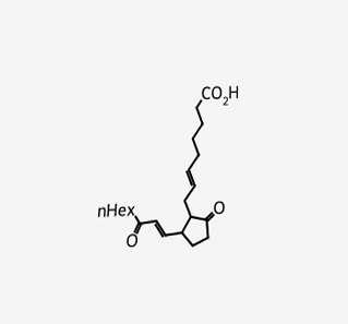 CCCCCCC(=O)/C=C/C1CCC(=O)C1C/C=C/CCCCC(=O)O